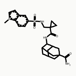 Cn1ccc2cc(S(=O)(=O)NCC3(C(=O)NC4C5CC6CC4CC(C(N)=O)(C6)C5)CC3)ccc21